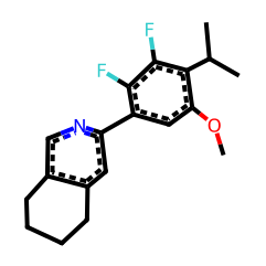 COc1cc(-c2cc3c(cn2)CCCC3)c(F)c(F)c1C(C)C